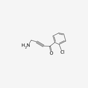 NCC#CC(=O)c1ccccc1Cl